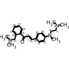 CN(C)CCN(C)c1ccc(/C=C/C(=O)c2ccccc2CN(C)C)cc1